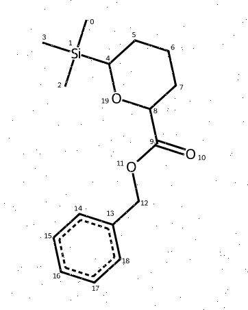 C[Si](C)(C)C1CCCC(C(=O)OCc2ccccc2)O1